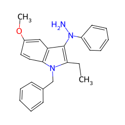 CCc1c(N(N)c2ccccc2)c2cc(OC)ccc2n1Cc1ccccc1